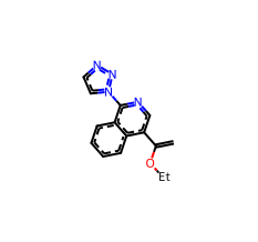 C=C(OCC)c1cnc(-n2ccnn2)c2ccccc12